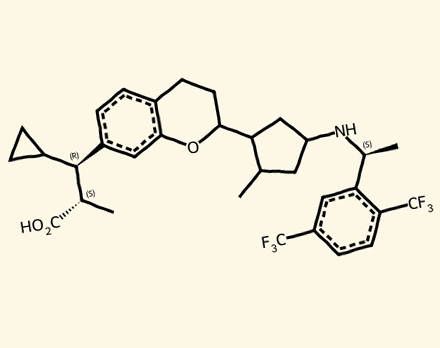 CC1CC(N[C@@H](C)c2cc(C(F)(F)F)ccc2C(F)(F)F)CC1C1CCc2ccc([C@H](C3CC3)[C@H](C)C(=O)O)cc2O1